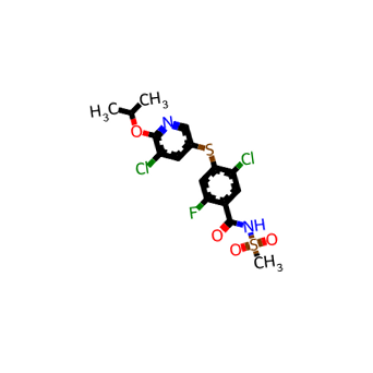 CC(C)Oc1ncc(Sc2cc(F)c(C(=O)NS(C)(=O)=O)cc2Cl)cc1Cl